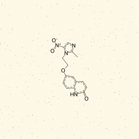 Cc1ncc([N+](=O)[O-])n1CCOc1ccc2[nH]c(=O)ccc2c1